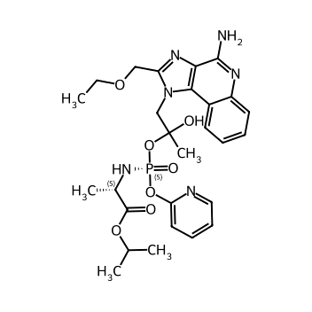 CCOCc1nc2c(N)nc3ccccc3c2n1CC(C)(O)O[P@](=O)(N[C@@H](C)C(=O)OC(C)C)Oc1ccccn1